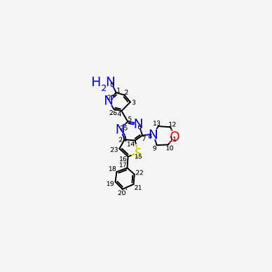 Nc1ccc(-c2nc(N3CCOCC3)c3sc(-c4cc[c]cc4)cc3n2)cn1